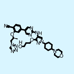 C[C@@H](Cn1cnnn1)Oc1cc(-c2cnc(Nc3cn(C4CCC(N5CCOCC5)CC4)nc3OCCCO)nc2)ccc1C#N